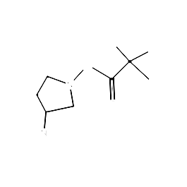 CC(C)(C)C(=O)ON1CCC(N)C1